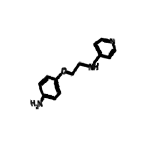 Nc1ccc(OCCNc2ccncc2)cc1